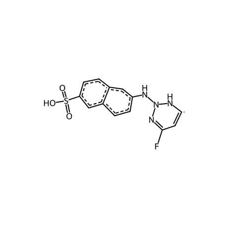 O=S(=O)(O)c1ccc2cc(NN3N=C(F)C=[C]N3)ccc2c1